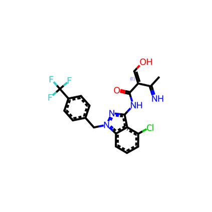 CC(=N)/C(=C\O)C(=O)Nc1nn(Cc2ccc(C(F)(F)F)cc2)c2cccc(Cl)c12